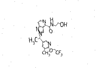 Cc1cc(C(C)n2cc3c(C(=O)NCCO)nccc3n2)cnc1OCC(F)(F)F